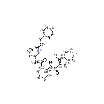 CC(C)CC(/C=N/OCc1ccccc1)NC(=O)[C@@H]1CCCC[C@@H]1NC(=O)c1cc2ccccc2n1C